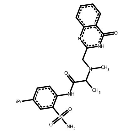 CC(C)c1ccc(NC(=O)C(C)N(C)Cc2nc3ccccc3c(=O)[nH]2)c(S(N)(=O)=O)c1